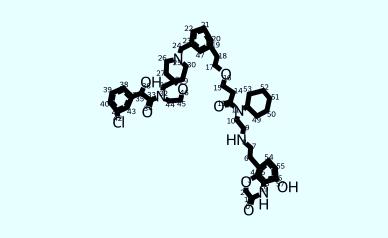 O=C1COc2c(CCNCCN(C(=O)CCOCCc3cccc(CN4CCC5(CC4)CN(C(=O)C(O)c4cccc(Cl)c4)CCO5)c3)C3CCCCC3)ccc(O)c2N1